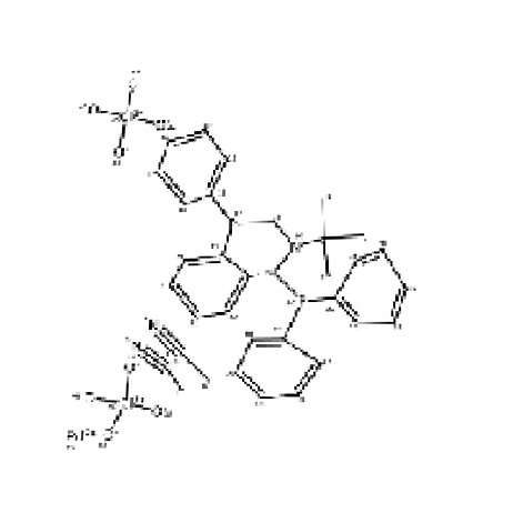 CC#N.CC#N.CC(C)(C)N(CP(c1ccccc1)c1ccccc1)CP(c1ccccc1)c1ccccc1.[O-][Cl+3]([O-])([O-])[O-].[O-][Cl+3]([O-])([O-])[O-].[Pd+2]